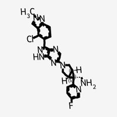 Cn1cc2c(Cl)c(-c3n[nH]c4nc(N5C[C@@H]6[C@H](C5)[C@]6(CN)c5ccc(F)cn5)cnc34)ccc2n1